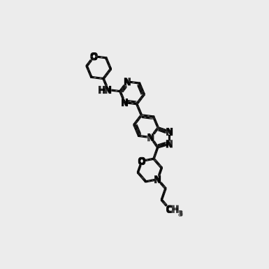 CCCN1CCOC(c2nnc3cc(-c4ccnc(NC5CCOCC5)n4)ccn23)C1